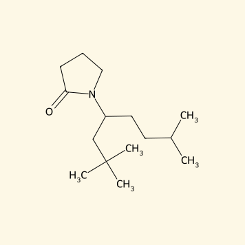 CC(C)CCC(CC(C)(C)C)N1CCCC1=O